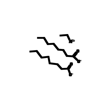 CCCCCCCC(=O)[O-].CCCCCCCC(=O)[O-].C[CH2][Al+2]